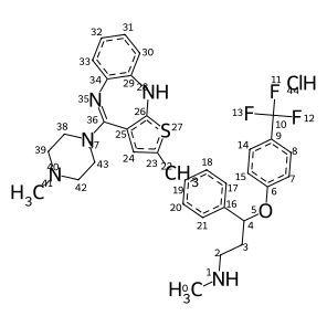 CNCCC(Oc1ccc(C(F)(F)F)cc1)c1ccccc1.Cc1cc2c(s1)Nc1ccccc1N=C2N1CCN(C)CC1.Cl